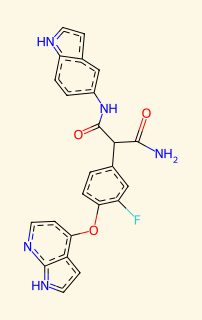 NC(=O)C(C(=O)Nc1ccc2[nH]ccc2c1)c1ccc(Oc2ccnc3[nH]ccc23)c(F)c1